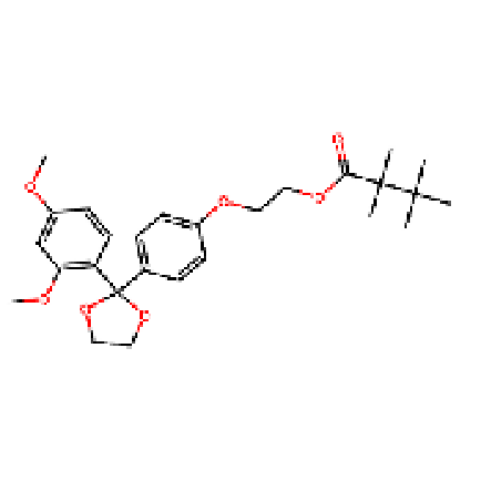 COc1ccc(C2(c3ccc(OCCOC(=O)C(C)(C)C(C)(C)C)cc3)OCCO2)c(OC)c1